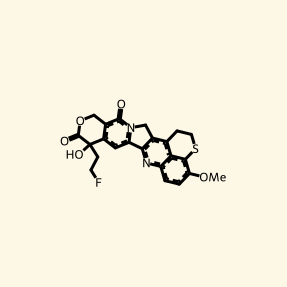 COc1ccc2nc3c(c4c2c1SCC4)Cn1c-3cc2c(c1=O)COC(=O)C2(O)CCF